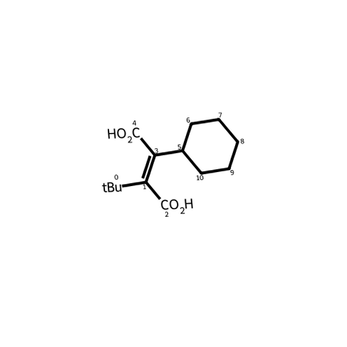 CC(C)(C)C(C(=O)O)=C(C(=O)O)C1CCCCC1